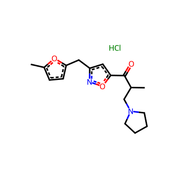 Cc1ccc(Cc2cc(C(=O)C(C)CN3CCCC3)on2)o1.Cl